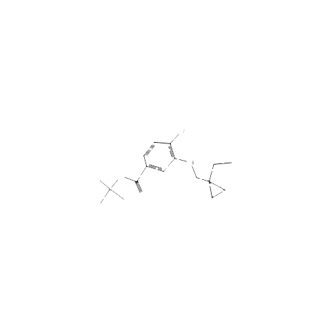 CC(C)(C)OC(=O)c1ccc(N)c(NCC2(CF)CC2)c1